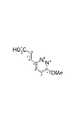 COc1ccc(/C=C/C(=O)O)nn1